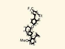 CCn1cc(C(F)(F)F)nc1-c1ccc(O[C@H]2CCCn3nc(-c4c(OC)ncnc4C4CC4)cc32)cc1F